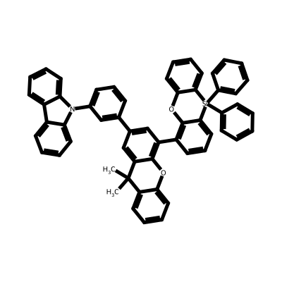 CC1(C)c2ccccc2Oc2c(-c3cccc4c3Oc3ccccc3[Si]4(c3ccccc3)c3ccccc3)cc(-c3cccc(-n4c5ccccc5c5ccccc54)c3)cc21